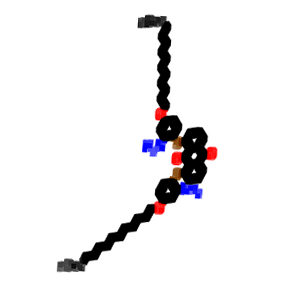 CCCCCCCCCCCCCCCCCCCCCOc1ccc(Sc2cccc3c2C(=O)c2c(Sc4ccc(OCCCCCCCCCCCCCCCCCCCCC)cc4N)cccc2C3=O)c(N)c1